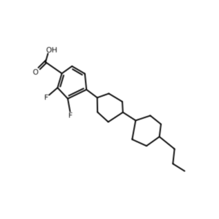 CCCC1CCC(C2CCC(c3ccc(C(=O)O)c(F)c3F)CC2)CC1